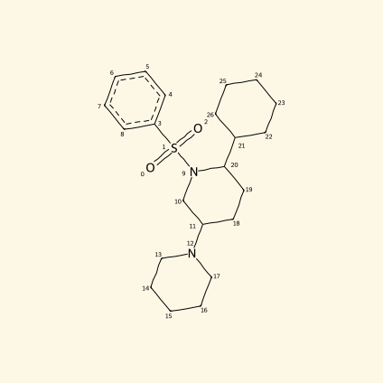 O=S(=O)(c1ccccc1)N1CC(N2CCCCC2)CCC1C1CCCCC1